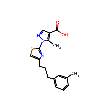 Cc1cccc(CCCc2csc(-n3ncc(C(=O)O)c3C)n2)c1